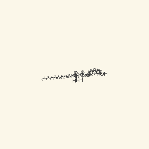 CCCCCCCCCCCCCCCCCCNC(=O)NCNC(=O)CCOc1ccc(Oc2ccc(O)cc2)cc1